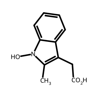 Cc1c(CC(=O)O)c2ccccc2n1O